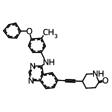 Cc1cc(Nc2ncnc3ccc(C#CC4CCC(=O)NC4)cc23)ccc1Oc1ccccc1